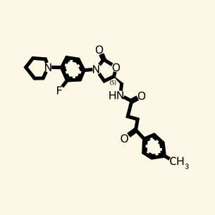 Cc1ccc(C(=O)CCC(=O)NC[C@H]2CN(c3ccc(N4CCCCC4)c(F)c3)C(=O)O2)cc1